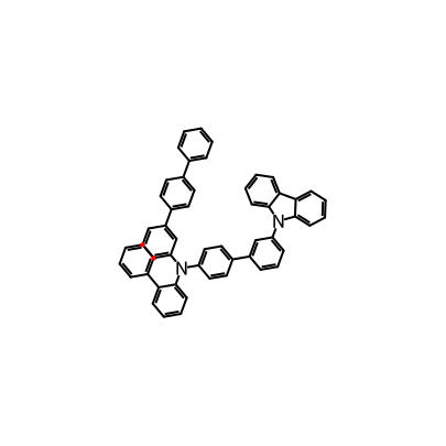 c1ccc(-c2ccc(-c3cccc(N(c4ccc(-c5cccc(-n6c7ccccc7c7ccccc76)c5)cc4)c4ccccc4-c4ccccc4)c3)cc2)cc1